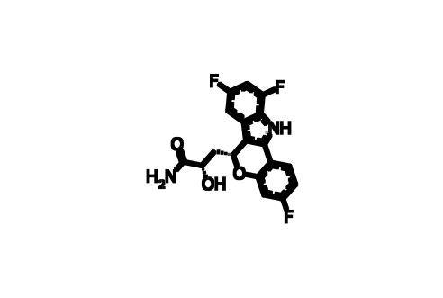 NC(=O)[C@@H](O)C[C@H]1Oc2cc(F)ccc2-c2[nH]c3c(F)cc(F)cc3c21